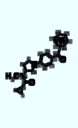 CN(C(=O)C1CC1)C1CCN(c2ccc(C(=O)N3CC4CCC(CC4)C3)cc2)C1